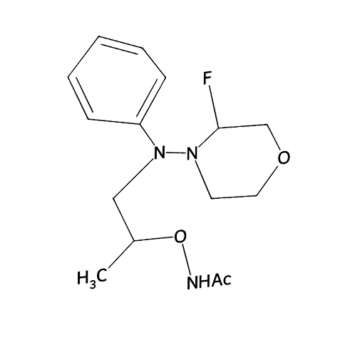 CC(=O)NOC(C)CN(c1ccccc1)N1CCOCC1F